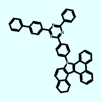 C1=c2ccc3c(c2=CCC1)c1c2ccccc2c2ccccc2c1n3-c1ccc(-c2nc(-c3ccccc3)nc(-c3ccc(-c4ccccc4)cc3)n2)cc1